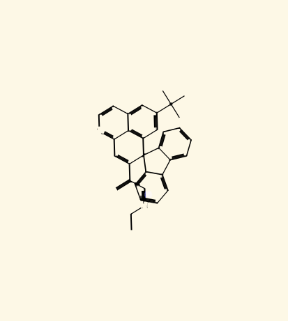 C=C(/C=N\CC)C1=Cc2nccc3cc(C(C)(C)C)cc(c23)C12c1ccccc1-c1ccccc12